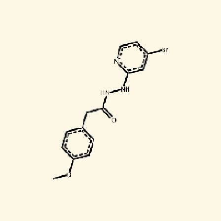 COc1ccc(CC(=O)NNc2cc(Br)ccn2)cc1